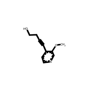 COc1cnccc1C#CCCO